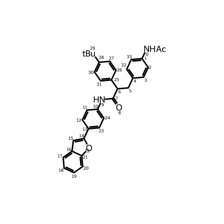 CC(=O)Nc1ccc(CC(C(=O)Nc2ccc(-c3cc4ccccc4o3)cc2)c2ccc(C(C)(C)C)cc2)cc1